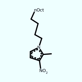 CCCCCCCCCCCCn1ccc([N+](=O)[O-])c1C